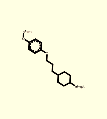 CCCCCCCC1CCC(CCCOc2ccc(OCCCCC)cc2)CC1